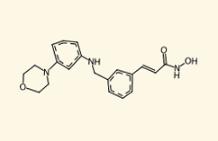 O=C(/C=C/c1cccc(CNc2cccc(N3CCOCC3)c2)c1)NO